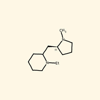 CCN1CCCCC1C[C@@H]1CCCN1C